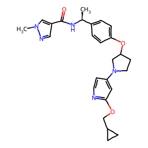 C[C@H](NC(=O)c1cnn(C)c1)c1ccc(OC2CCN(c3ccnc(OCC4CC4)c3)C2)cc1